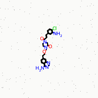 Nc1cc(/C=C/C(=O)N2CCN(COCCc3ccc4c(N)ncnc4c3)C(=O)C2)ccc1Cl